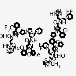 CN(C(=O)C[C@H](CCN1CCCC(F)(F)C1)N(C=O)c1cc(-c2ccccc2Cl)n(C2CCCC2)n1)c1nccs1.COc1cccc(OC)c1-c1cc(C(=O)N[C@@H](CCN2CCCCC2)Cc2nccs2)nn1C1CCCC1.O=C(N[C@@H](CCN1CCCC(F)(F)C1)Cc1nnc[nH]1)c1cc(-c2ccccc2Cl)n(C2CCCC2)n1.O=CN(CCC(=O)Nc1nccs1)c1cc(-c2ccccc2C(F)(F)F)n(C2CCCC2)n1